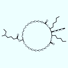 C=C=C=C=C1C(CCCCC)CC(=O)OCCCCCCCCC(OC(=O)CCCN(C)CC)CCCCCCCCOC(=O)CC1CCCCC